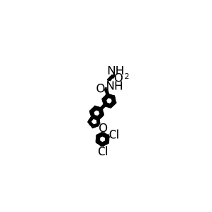 NC(=O)CNC(=O)c1cccc(-c2ccc3c(c2)C(Oc2ccc(Cl)cc2Cl)CC3)c1